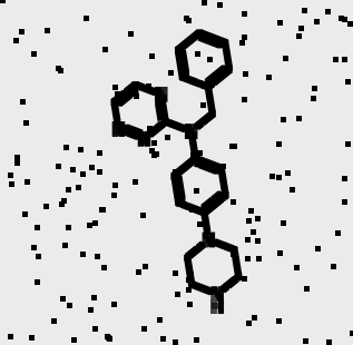 c1ccc(CN(c2ccc(N3CCNCC3)cc2)c2nccnn2)cc1